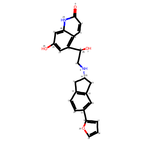 O=c1ccc2c([C@@H](O)CN[C@H]3Cc4ccc(-c5ccco5)cc4C3)cc(O)cc2[nH]1